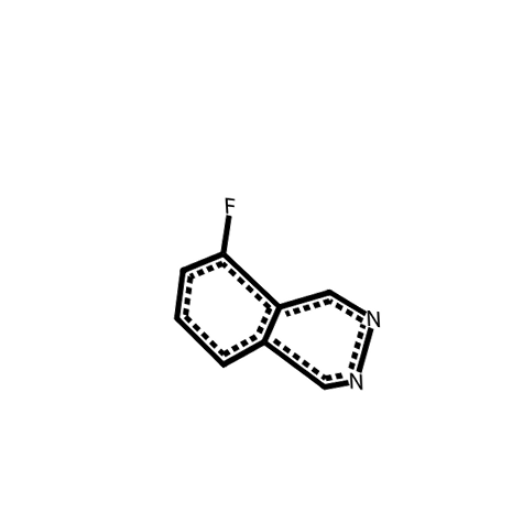 Fc1cccc2cnncc12